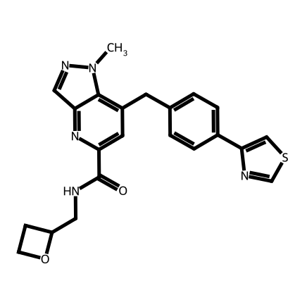 Cn1ncc2nc(C(=O)NCC3CCO3)cc(Cc3ccc(-c4cscn4)cc3)c21